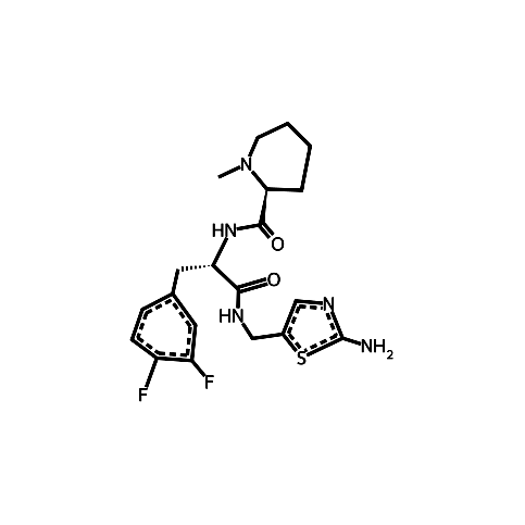 CN1CCCC[C@H]1C(=O)N[C@@H](Cc1ccc(F)c(F)c1)C(=O)NCc1cnc(N)s1